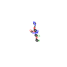 CN1CCN(CCCOc2cc(OC3CCOC3)c3c(Nc4ccc(OCc5cccc(F)c5)c(Cl)c4)ncnc3c2)CC1